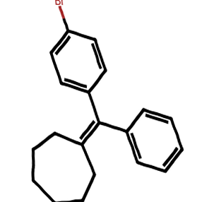 Brc1ccc(C(=C2CCCCCC2)c2ccccc2)cc1